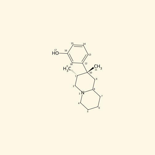 C[C@H]1CN2CCCCC2C[C@@]1(C)c1cccc(O)c1